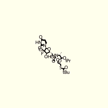 CC(C)OC(=O)[C@@H](C)NP(=O)(OCCSC(=O)C(C)(C)C)OC[C@H]1O[C@@H](n2ccc(=O)[nH]c2=O)[C@](F)(Cl)[C@@H]1O